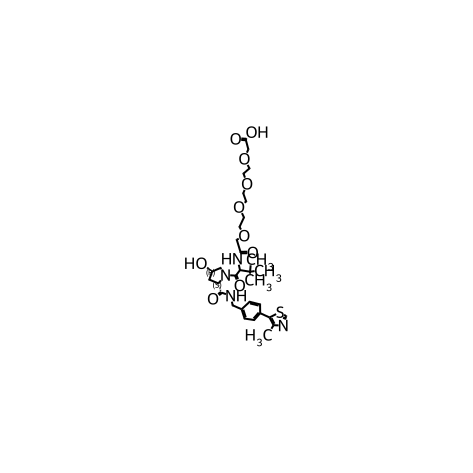 Cc1ncsc1-c1ccc(CNC(=O)[C@@H]2C[C@@H](O)CN2C(=O)C(NC(=O)COCCOCCOCCOCC(=O)O)C(C)(C)C)cc1